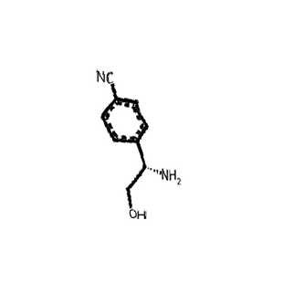 N#Cc1ccc([C@H](N)CO)cc1